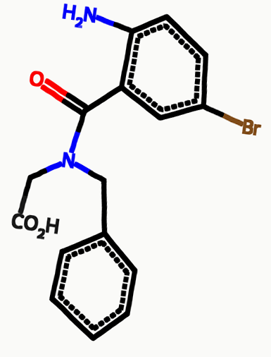 Nc1ccc(Br)cc1C(=O)N(CC(=O)O)Cc1ccccc1